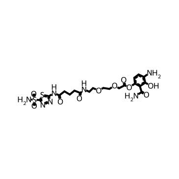 NC(=O)c1c(OC(=O)COCCOCCNC(=O)CCCC(=O)Nc2nnc(S(N)(=O)=O)s2)ccc(N)c1O